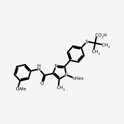 CCCCCCn1c(-c2ccc(SC(C)(C)C(=O)O)cc2)nc(C(=O)Nc2cccc(OC)c2)c1C